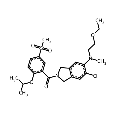 CCOCCN(C)c1cc2c(cc1Cl)CN(C(=O)c1cc(S(C)(=O)=O)ccc1OC(C)C)C2